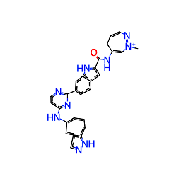 C[N+]1=NC=CCC(NC(=O)c2cc3ccc(-c4nccc(NC5=C=CC=c6[nH]ncc6=C5)n4)cc3[nH]2)=C1